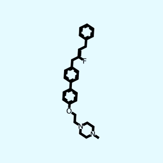 CN1CCN(CCOc2ccc(-c3ccc(C/C(F)=C/Cc4ccccc4)cc3)cc2)CC1